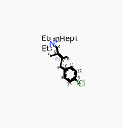 CCCCCCC[N+](CC)(CC)C/C(C)=C(\C)Cc1ccc(Cl)cc1